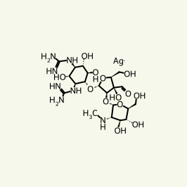 CN[C@@H]1[C@H](O[C@H]2[C@H](O[C@H]3[C@H](O)[C@@H](O)[C@H](NC(=N)N)[C@@H](O)[C@@H]3NC(=N)N)O[C@@H](CO)[C@]2(O)C=O)O[C@@H](CO)[C@H](O)[C@H]1O.[Ag]